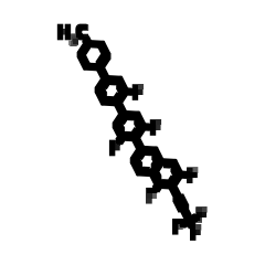 CC1CC=C(c2ccc(-c3cc(F)c(-c4ccc5c(F)c(C#CC(F)(F)F)c(F)cc5c4)c(F)c3)c(F)c2)CC1